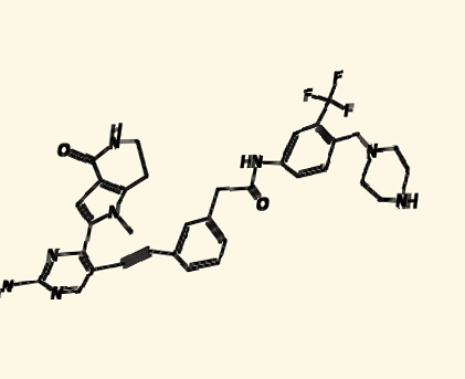 Cn1c(-c2nc(N)ncc2C#Cc2cccc(CC(=O)Nc3ccc(CN4CCNCC4)c(C(F)(F)F)c3)c2)cc2c1CCNC2=O